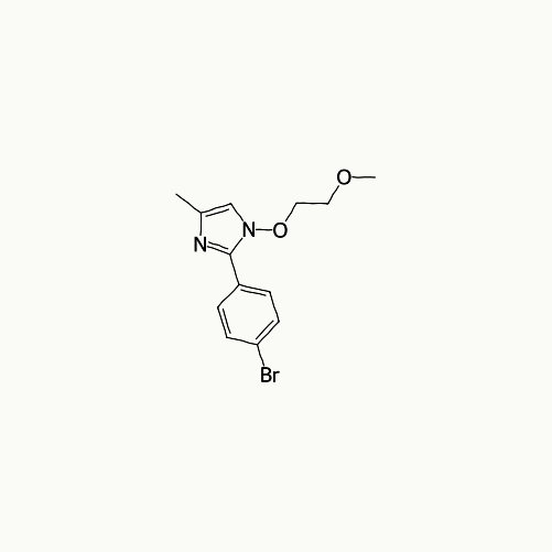 COCCOn1cc(C)nc1-c1ccc(Br)cc1